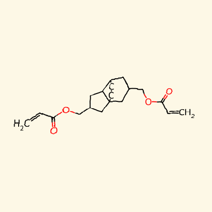 C=CC(=O)OCC1CC2CCC3(C1)CC(COC(=O)C=C)CC23